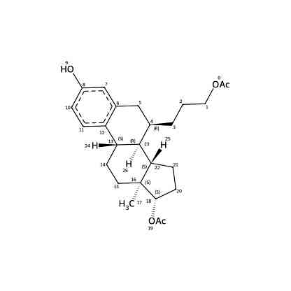 CC(=O)OCCC[C@@H]1Cc2cc(O)ccc2[C@H]2CC[C@]3(C)[C@@H](OC(C)=O)CC[C@H]3[C@H]12